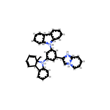 CC12C=CC=CC1c1ccccc1N2c1cc(-c2cn3ccccc3n2)cc(-n2c3ccccc3c3ccccc32)c1